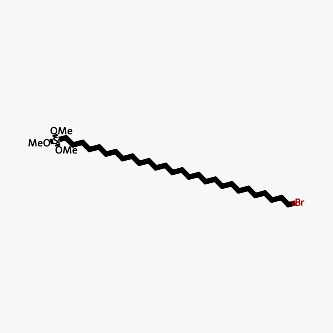 CO[Si](CCCCCCCCCCCCCCCCCCCCCCCCCCCCBr)(OC)OC